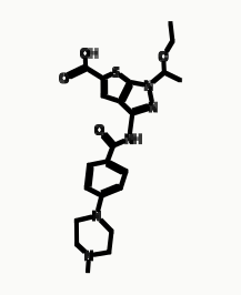 CCOC(C)n1nc(NC(=O)c2ccc(N3CCN(C)CC3)cc2)c2cc(C(=O)O)sc21